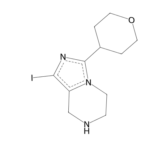 Ic1nc(C2CCOCC2)n2c1CNCC2